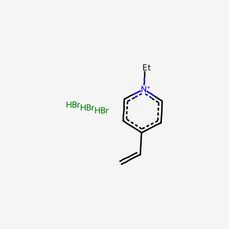 Br.Br.Br.C=Cc1cc[n+](CC)cc1